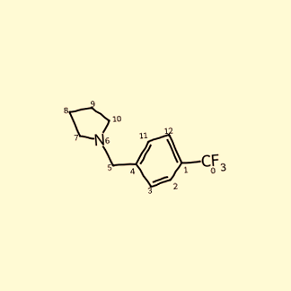 FC(F)(F)c1ccc(CN2CCCC2)cc1